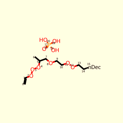 C=COOOC(C)COCCOOCCCCCCCCCCCC.O=P(O)(O)O